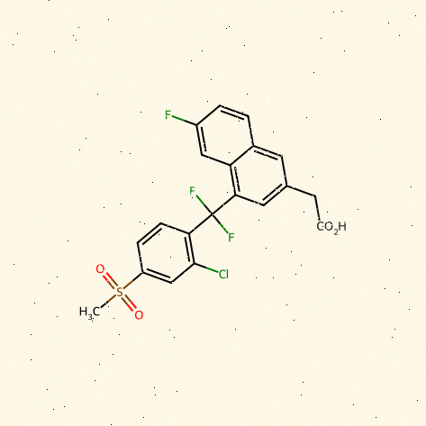 CS(=O)(=O)c1ccc(C(F)(F)c2cc(CC(=O)O)cc3ccc(F)cc23)c(Cl)c1